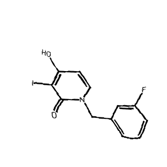 O=c1c(I)c(O)ccn1Cc1cccc(F)c1